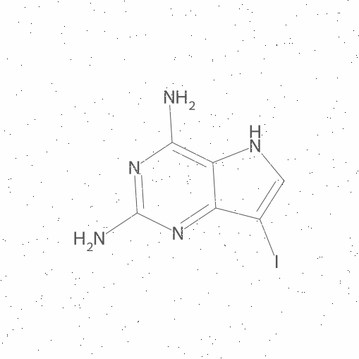 Nc1nc(N)c2[nH]cc(I)c2n1